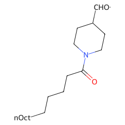 CCCCCCCCCCCCC(=O)N1CCC([C]=O)CC1